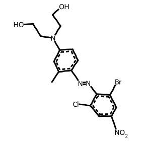 Cc1cc(N(CCO)CCO)ccc1/N=N/c1c(Cl)cc([N+](=O)[O-])cc1Br